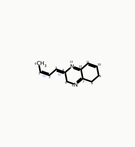 C/C=C\C=C1/CN=C2CCC=CC2=N1